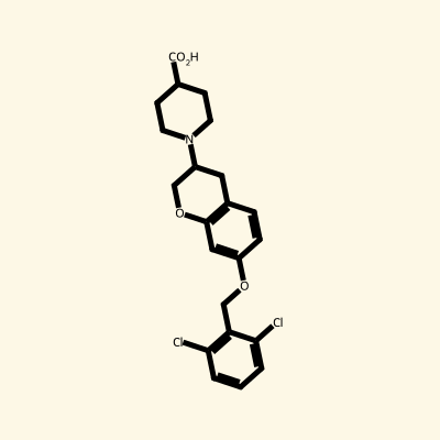 O=C(O)C1CCN(C2COc3cc(OCc4c(Cl)cccc4Cl)ccc3C2)CC1